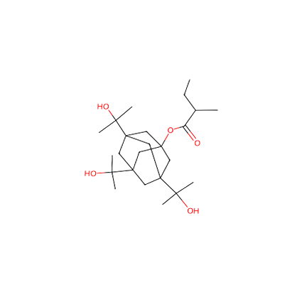 CCC(C)C(=O)OC12CC3(C(C)(C)O)CC(C(C)(C)O)(C1)CC(C(C)(C)O)(C2)C3